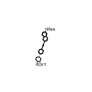 CCCCCCCC[C@H]1CC[C@H](c2ccc(C#Cc3ccc4cc(CCCCCC)ccc4c3)cc2)CC1